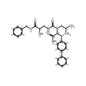 CC(C)CN(C(=O)NCC(O)C(=O)OCc1ccccc1)C(Cc1ccc(-c2ccccc2)cc1)C(N)=O